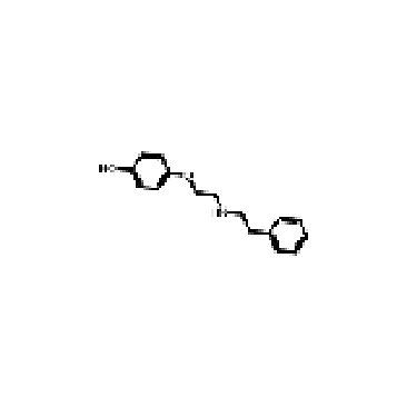 Oc1ccc(OCCNCCc2ccccc2)cc1